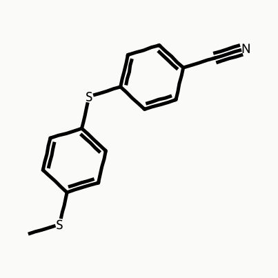 CSc1ccc(Sc2ccc(C#N)cc2)cc1